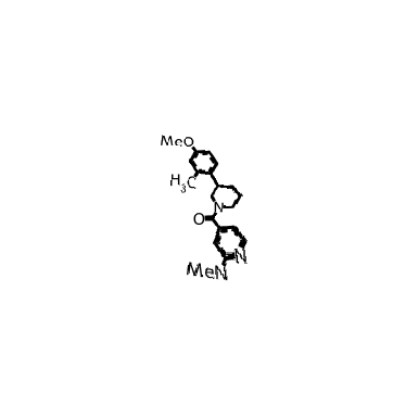 CNc1cc(C(=O)N2CCCC(c3ccc(OC)cc3C)C2)ccn1